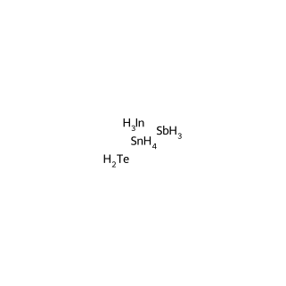 [InH3].[SbH3].[SnH4].[TeH2]